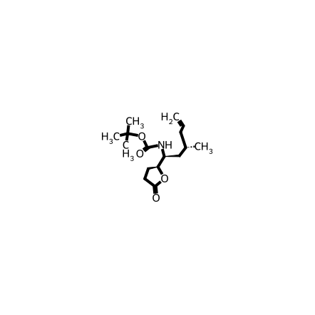 C=CC[C@H](C)C[C@H](NC(=O)OC(C)(C)C)[C@@H]1CCC(=O)O1